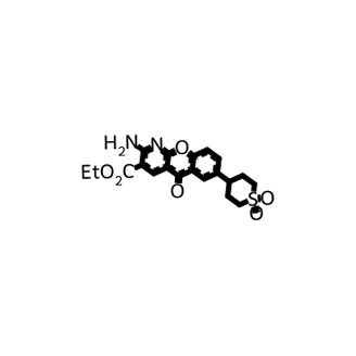 CCOC(=O)c1cc2c(=O)c3cc(C4CCS(=O)(=O)CC4)ccc3oc2nc1N